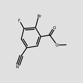 COC(=O)c1cc(C#N)cc(F)c1Br